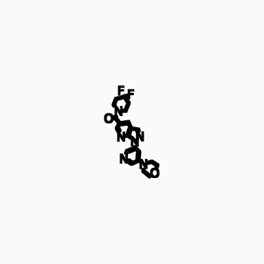 O=C(c1cnc2c(cnn2-c2cncc(N3CCOCC3)c2)c1)N1CCC(F)(F)CC1